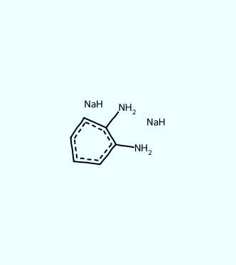 Nc1ccccc1N.[NaH].[NaH]